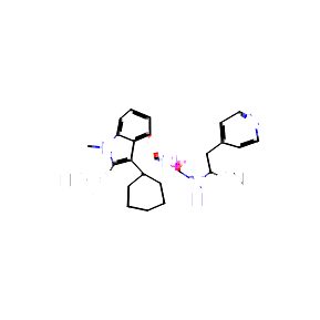 Cn1c(C(=O)O)c([C@]2(C(N)=O)CCCC[C@H]2C(=O)NC(C#N)Cc2ccncc2)c2ccccc21